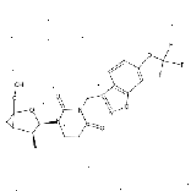 C[C@H]1C2CC2(CO)O[C@H]1n1ccc(=O)n(Cc2noc3cc(OC(F)(F)F)ccc23)c1=O